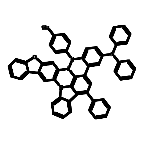 CC(C)(C)c1ccc(N2B3c4cc5oc6ccccc6c5cc4-n4c5ccccc5c5c(-c6ccccc6)cc(c3c54)-c3cc(N(c4ccccc4)c4ccccc4)ccc32)cc1